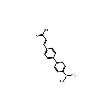 CN(C)c1ccc(-c2ccc(C=CC(=O)O)cc2)cc1